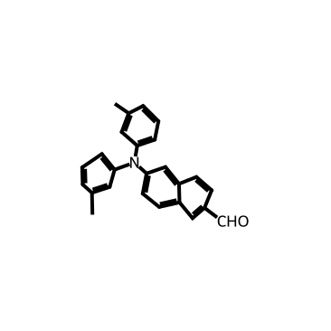 Cc1cccc(N(c2cccc(C)c2)c2ccc3cc(C=O)ccc3c2)c1